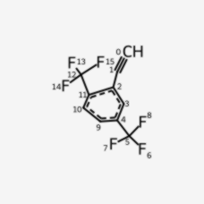 C#Cc1cc(C(F)(F)F)ccc1C(F)(F)F